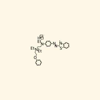 CCN(CC[N+](CC)(CC)CCOc1ccccc1)c1ccc(N=NC2Sc3ccccc3N2C)cc1.Cl.[Cl-]